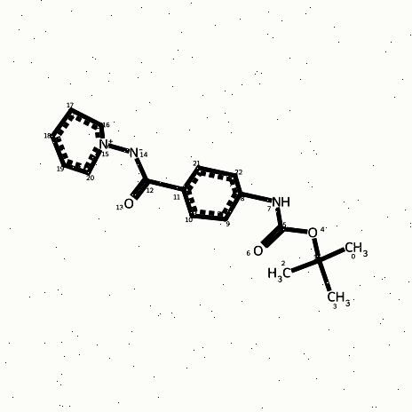 CC(C)(C)OC(=O)Nc1ccc(C(=O)[N-][n+]2ccccc2)cc1